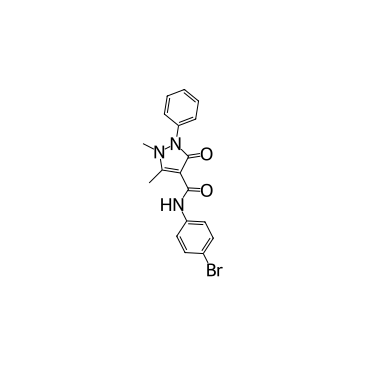 Cc1c(C(=O)Nc2ccc(Br)cc2)c(=O)n(-c2ccccc2)n1C